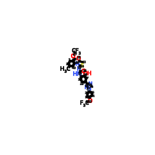 Cc1ccc(COCC(F)(F)F)c(N2C(=O)CSC2=NC(=O)Nc2ccc(-c3ncn(-c4ccc(OC(F)(F)F)cc4)n3)cc2O)c1